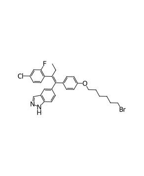 CCC(=C(c1ccc(OCCCCCCBr)cc1)c1ccc2[nH]ncc2c1)c1ccc(Cl)cc1F